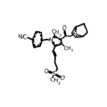 Cc1c(C(=O)CN2C3CCC2CC3)c(C)n(-c2ccc(C#N)cc2)c1C=CCCS(C)(=O)=O